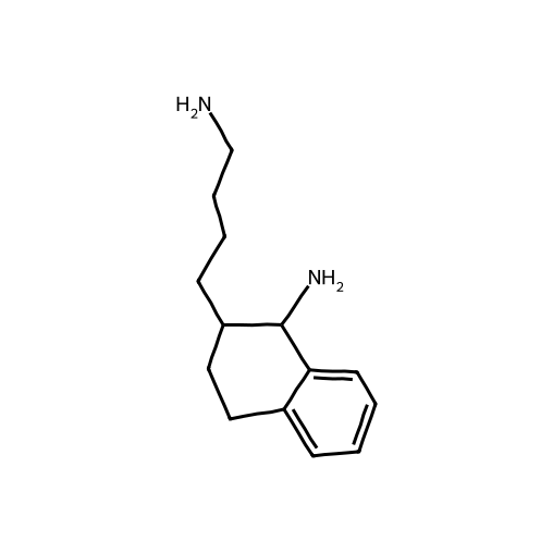 NCCCCC1CCc2ccccc2C1N